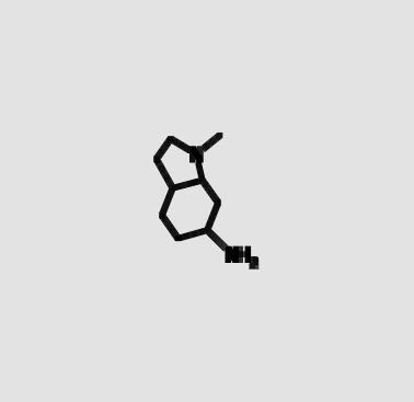 CN1CCC2CCC(N)CC21